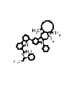 C=C1C/C=C\C=C/CCC(C)(C)C2=CCc3c(c4cc(-c5cccc6c5oc5c(/C(N)=N/C(=C\C)c7ccccc7)cccc56)ccc4n3-c3ccccc3)C=C12